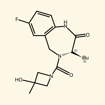 CC[C@H](C)[C@H]1C(=O)Nc2ccc(F)cc2CN1C(=O)N1CC(C)(O)C1